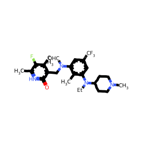 CCN(c1cc(C(F)(F)F)cc(N(C=O)Cc2c(C)c(F)c(C)[nH]c2=O)c1C)C1CCN(C)CC1